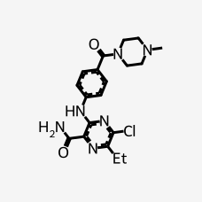 CCc1nc(C(N)=O)c(Nc2ccc(C(=O)N3CCN(C)CC3)cc2)nc1Cl